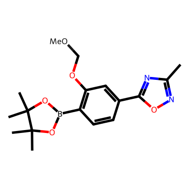 COCOc1cc(-c2nc(C)no2)ccc1B1OC(C)(C)C(C)(C)O1